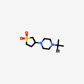 CCC(C)(C)N1CCN(C2CCS(=O)(=O)C2)CC1